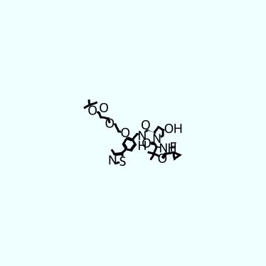 Cc1ncsc1-c1ccc(CNC(=O)[C@@H]2C[C@@H](O)CN2C(=O)[C@@H](NC(=O)C2(F)CC2)C(C)(C)C)c(OCCOCCC(=O)OC(C)(C)C)c1